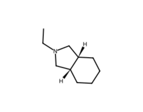 CCN1C[C@H]2CCCC[C@H]2C1